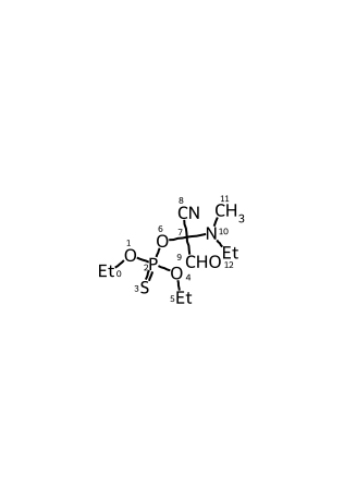 CCOP(=S)(OCC)OC(C#N)(C=O)N(C)CC